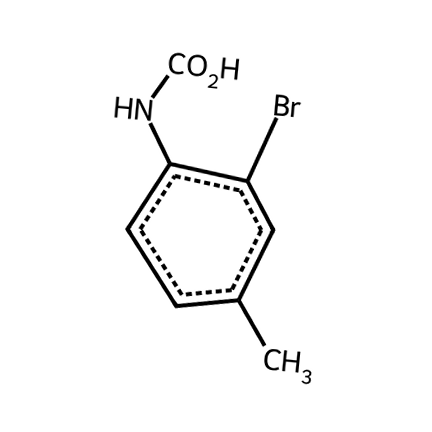 Cc1ccc(NC(=O)O)c(Br)c1